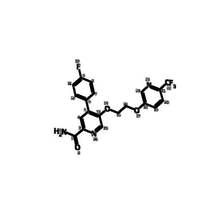 NC(=O)c1cc(-c2ccc(F)cc2)c(OCCOc2ccc(C(F)(F)F)nc2)cn1